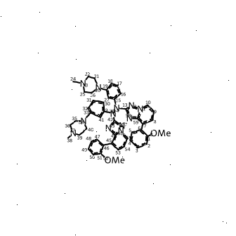 COc1ccccc1-c1cccn2nc(N(c3cccc(N4CCN(C)CC4)c3)N(c3cccc(N4CCN(C)CC4)c3)c3nc4c(-c5ccccc5OC)cccn4n3)nc12